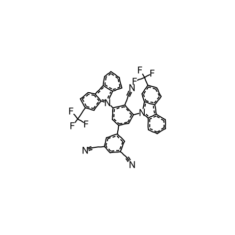 N#Cc1cc(C#N)cc(-c2cc(-n3c4ccccc4c4ccc(C(F)(F)F)cc43)c(C#N)c(-n3c4ccccc4c4ccc(C(F)(F)F)cc43)c2)c1